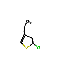 CCC1=CS[C](Cl)C1